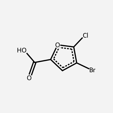 O=C(O)c1cc(Br)c(Cl)o1